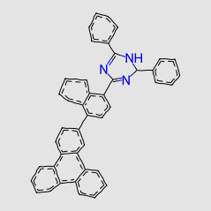 c1ccc(C2=NC(c3ccc(-c4ccc5c6ccccc6c6ccccc6c5c4)c4ccccc34)=NC(c3ccccc3)N2)cc1